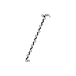 NC(=O)OCCCCOCCOCCOCCOCCOCCOCCOCCO